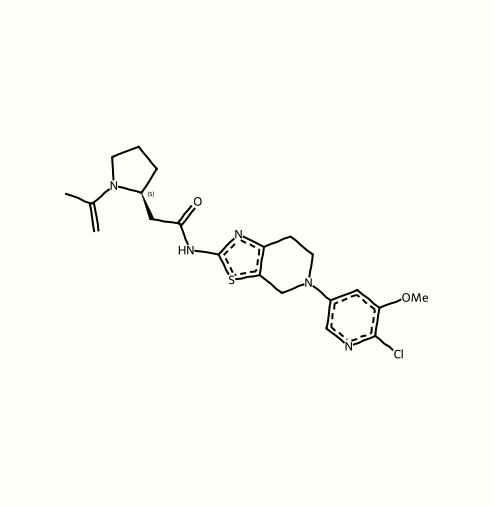 C=C(C)N1CCC[C@H]1CC(=O)Nc1nc2c(s1)CN(c1cnc(Cl)c(OC)c1)CC2